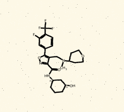 CN(Cc1c(C(=O)N[C@@H]2CCC[C@H](O)C2)noc1-c1ccc(C(F)(F)F)c(F)c1)C1CCOCC1